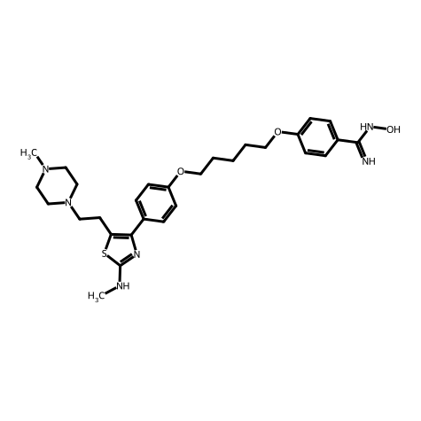 CNc1nc(-c2ccc(OCCCCCOc3ccc(C(=N)NO)cc3)cc2)c(CCN2CCN(C)CC2)s1